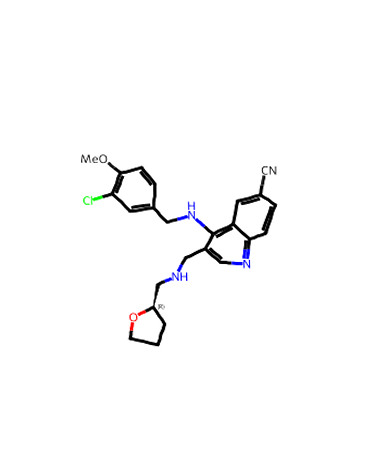 COc1ccc(CNc2c(CNC[C@H]3CCCO3)cnc3ccc(C#N)cc23)cc1Cl